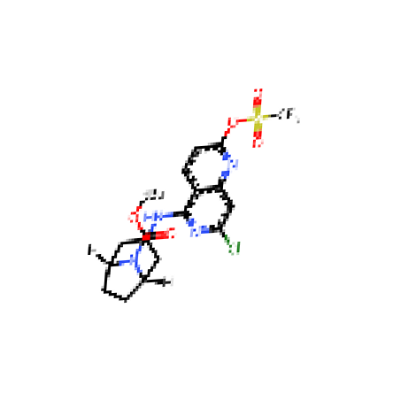 CC(C)(C)OC(=O)N1[C@@H]2CC[C@H]1CC(Nc1nc(Cl)cc3nc(OS(=O)(=O)C(F)(F)F)ccc13)C2